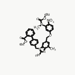 CCCc1nc2c(C)cc(COc3ccc([N+](=O)[O-])c(N(C)C(=O)OC(C)(C)C)c3)cc2n1Cc1ccc(-c2ccccc2C(=O)OC(C)(C)C)cc1